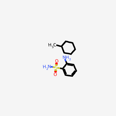 CC1CCCCC1.Nc1ccccc1S(N)(=O)=O